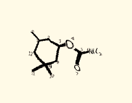 CC1CC(OC(N)=O)CC(C)(C)C1